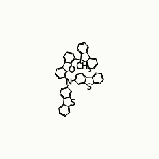 CC1(c2cccc3c2oc2c(N(c4ccc5c(c4)sc4ccccc45)c4ccc5c(c4)sc4ccccc45)cccc23)c2ccccc2-c2ccccc21